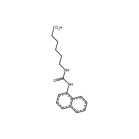 O=C(O)CCCCCNC(=O)Nc1cccc2ccccc12